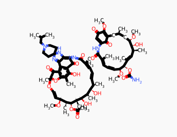 COC1=C2C[C@@H](C)C[C@H](OC)[C@H](O)[C@@H](C)/C=C(\C)[C@H](OC(N)=O)[C@@H](OC)/C=C\C=C(/C)C(=O)NC(=CC1=O)C2=O.CO[C@H]1/C=C/O[C@@]2(C)Oc3c(C)c(O)c4c(c3C2=O)C2=NC3(CCN(CC(C)C)CC3)NC2=C(NC(=O)/C(C)=C\C=C\[C@H](C)[C@H](O)[C@@H](C)[C@@H](O)[C@@H](C)[C@H](OC(C)=O)[C@@H]1C)C4=O